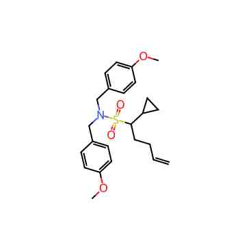 C=CCCC(C1CC1)S(=O)(=O)N(Cc1ccc(OC)cc1)Cc1ccc(OC)cc1